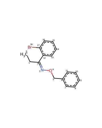 CCC(=NOCc1ccccc1)c1ccccc1Br